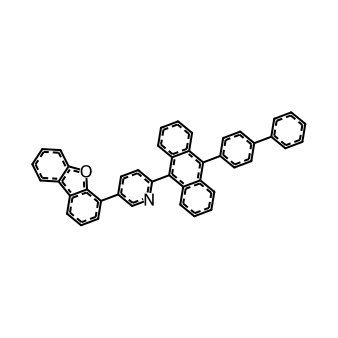 c1ccc(-c2ccc(-c3c4ccccc4c(-c4ccc(-c5cccc6c5oc5ccccc56)cn4)c4ccccc34)cc2)cc1